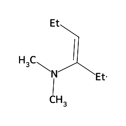 C[CH]C(=CCC)N(C)C